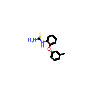 Cc1cccc(Oc2ccccc2NC(N)=S)c1